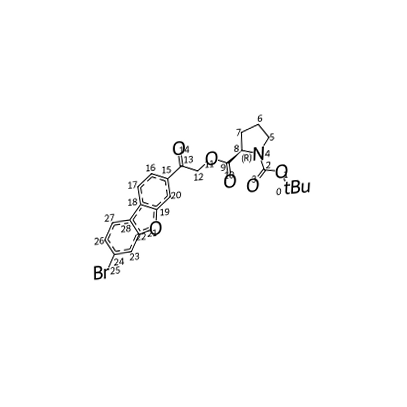 CC(C)(C)OC(=O)N1CCC[C@@H]1C(=O)OCC(=O)c1ccc2c(c1)oc1cc(Br)ccc12